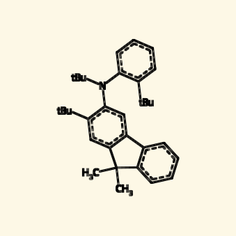 CC(C)(C)c1ccccc1N(c1cc2c(cc1C(C)(C)C)C(C)(C)c1ccccc1-2)C(C)(C)C